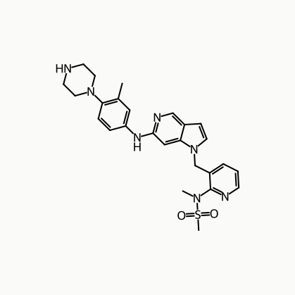 Cc1cc(Nc2cc3c(ccn3Cc3cccnc3N(C)S(C)(=O)=O)cn2)ccc1N1CCNCC1